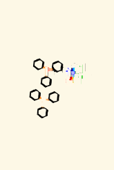 CN(C)C=O.[Cl][Pd][Cl].c1ccc(P(c2ccccc2)c2ccccc2)cc1.c1ccc(P(c2ccccc2)c2ccccc2)cc1